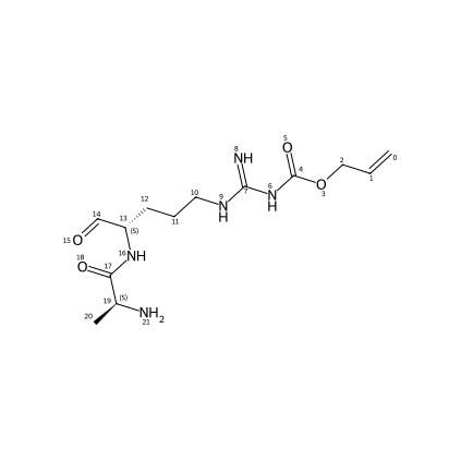 C=CCOC(=O)NC(=N)NCCC[C@@H](C=O)NC(=O)[C@H](C)N